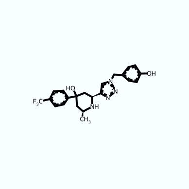 C[C@H]1CC(O)(c2ccc(C(F)(F)F)cc2)C[C@@H](c2cn(Cc3ccc(O)cc3)nn2)N1